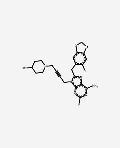 Nc1nc(F)nc2c1nc(Cc1cc3c(cc1I)OCO3)n2CC#CCN1CCC(O)CC1